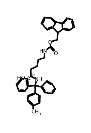 Cc1ccc(C(N[C@@H](CCCCNC(=O)OCC2c3ccccc3-c3ccccc32)C(=O)O)(c2ccccc2)c2ccccc2)cc1